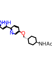 CC(=O)N[C@H]1CC[C@H](COc2ccc(-c3ccn[nH]3)nc2)CC1